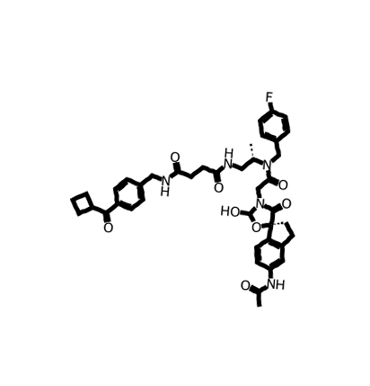 CC(=O)Nc1ccc2c(c1)CC[C@@]21OC(O)N(CC(=O)N(Cc2ccc(F)cc2)[C@@H](C)CNC(=O)CCC(=O)NCc2ccc(C(=O)C3CCC3)cc2)C1=O